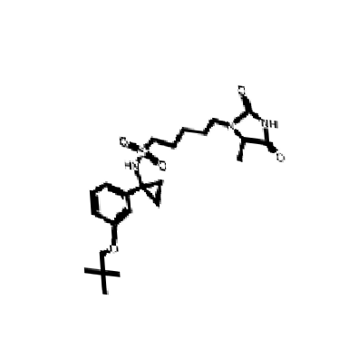 CC1C(=O)NC(=O)N1CCCCCS(=O)(=O)NC1(c2cccc(OCC(C)(C)C)c2)CC1